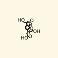 O=C(O)CN(CC(=O)O)c1ccc2c(CO)cc(=O)oc2c1